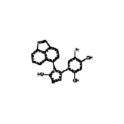 CC(C)c1cc(-c2cnc(O)n2-c2ccc3c4c(cccc24)C=C3)c(O)cc1O